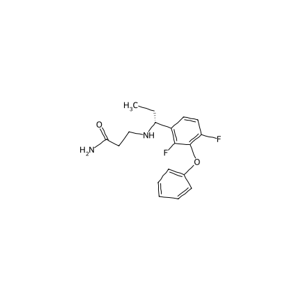 CC[C@@H](NCCC(N)=O)c1ccc(F)c(Oc2ccccc2)c1F